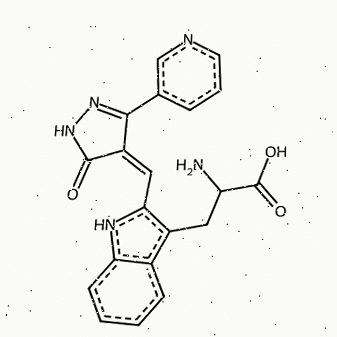 NC(Cc1c(/C=C2\C(=O)NN=C2c2cccnc2)[nH]c2ccccc12)C(=O)O